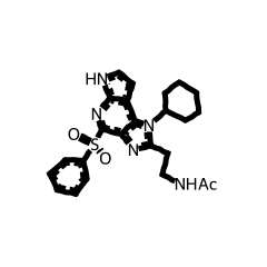 CC(=O)NCCc1nc2c(S(=O)(=O)c3ccccc3)nc3[nH]ccc3c2n1C1CCCCC1